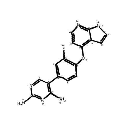 Nc1ncc(-c2ccc(Oc3ccnc4[nH]ccc34)c(F)c2)c(N)n1